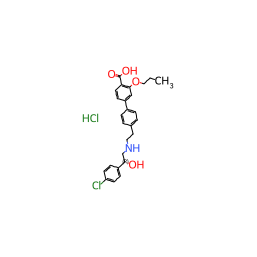 CCCOc1cc(-c2ccc(CCNC[C@H](O)c3ccc(Cl)cc3)cc2)ccc1C(=O)O.Cl